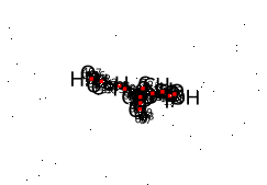 CC(C)(C)[C@H](NC(=O)c1cc2cc(C(F)(F)P(=O)(O)O)ccc2s1)C(=O)N1CCN(C(=O)CCCC#Cc2ccc3c(c2)CN(C2CCC(=O)NC2=O)C3=O)C[C@H]1C(=O)N1CCO[C@H](c2ccccc2)C1